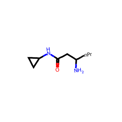 CCCC(N)CC(=O)NC1CC1